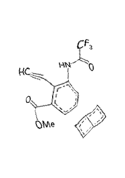 C#Cc1c(NC(=O)C(F)(F)F)cccc1C(=O)OC.c1cc2ccc1-2